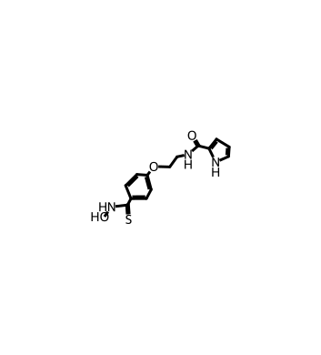 O=C(NCCOc1ccc(C(=S)NO)cc1)c1ccc[nH]1